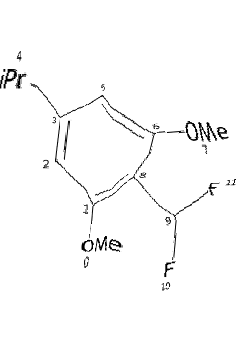 COc1cc(C(C)C)cc(OC)c1C(F)F